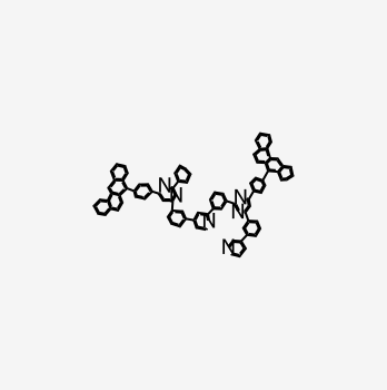 c1ccc(-c2nc(-c3ccc(-c4c5ccccc5cc5c4ccc4ccccc45)cc3)cc(-c3cccc(-c4ccnc(-c5cccc(-c6nc(-c7ccc(-c8c9ccccc9cc9c8ccc8ccccc89)cc7)cc(-c7cccc(-c8cccnc8)c7)n6)c5)c4)c3)n2)cc1